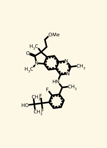 COCCC1(C)C(=O)N(C)c2cc3c(NC(C)c4cccc(C(F)(F)C(C)(C)O)c4F)nc(C)nc3cc21